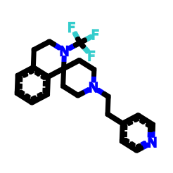 FC(F)(F)N1CCc2ccccc2C12CCN(CCc1ccncc1)CC2